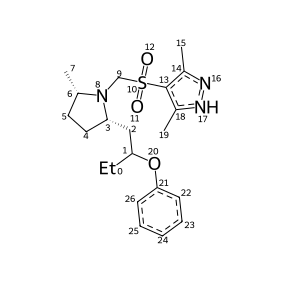 CCC(C[C@@H]1CC[C@H](C)N1CS(=O)(=O)c1c(C)n[nH]c1C)Oc1ccccc1